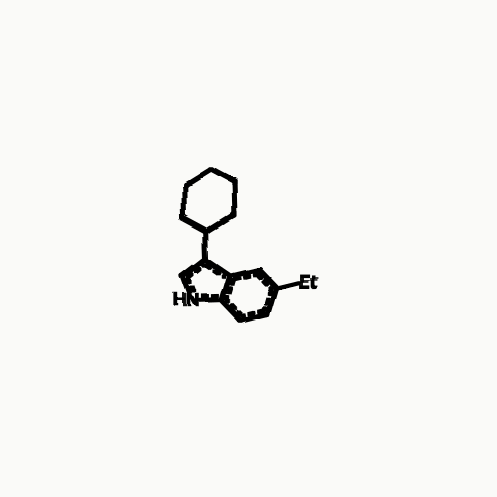 CCc1ccc2[nH]cc(C3CCCCC3)c2c1